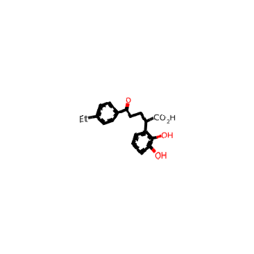 CCc1ccc(C(=O)CCC(C(=O)O)c2cccc(O)c2O)cc1